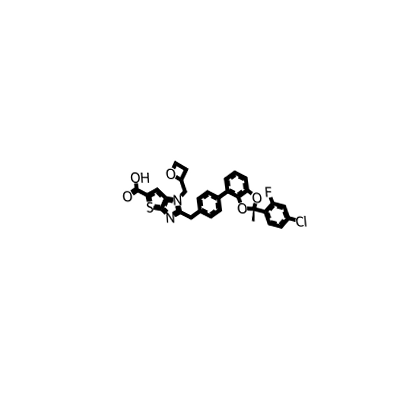 C[C@]1(c2ccc(Cl)cc2F)Oc2cccc(-c3ccc(Cc4nc5sc(C(=O)O)cc5n4CC4CCO4)cc3)c2O1